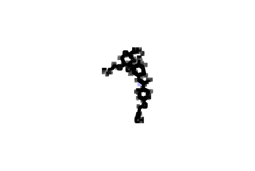 C#CCOc1cnc(/C(F)=C/c2ccc(F)c([C@@]3(C)N=C(N)OC[C@@H]3OCC(F)(F)F)c2)cn1